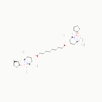 CC1(C)CC(OC(=O)CCCCCCCCC(=O)OC2CC(C)(C)N(OC3CCCC3)C(C)(C)C2)CC(C)(C)N1OC1CCCC1